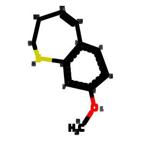 COc1ccc2c(c1)SCC[C]=C2